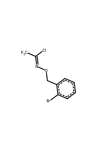 FC(F)(F)C(Cl)=NOCc1ccccc1Br